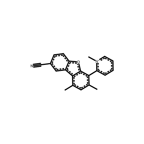 Cc1cc(C)c2c(oc3ccc(C#N)cc32)c1-c1cccc[n+]1C